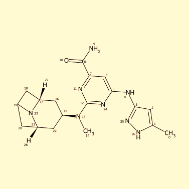 Cc1cc(Nc2cc(C(N)=O)nc(N(C)[C@@H]3C[C@H]4CC5C[C@@H](C3)N54)n2)n[nH]1